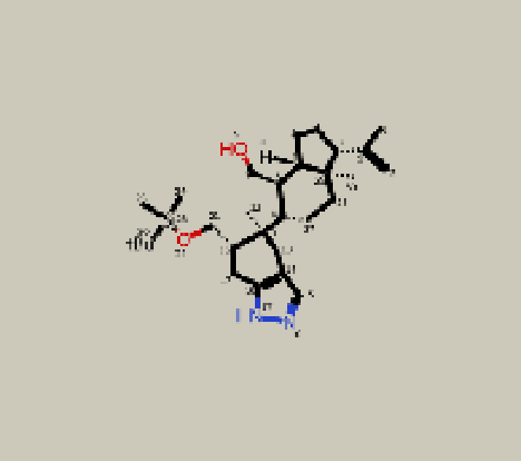 C=C(C)[C@H]1CC[C@H]2[C@H](CO)[C@@H]([C@@]3(C)Cc4cn[nH]c4C[C@@H]3CO[Si](C)(C)C(C)(C)C)CC[C@]12C